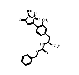 Cc1cc(C[C@H](NC(=O)OCc2ccccc2)C(=O)O)ccc1C1=CC(=O)N(C(C)(C)C)S1(=O)=O